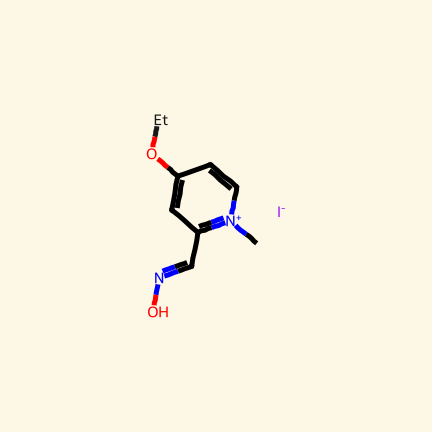 CCOc1cc[n+](C)c(C=NO)c1.[I-]